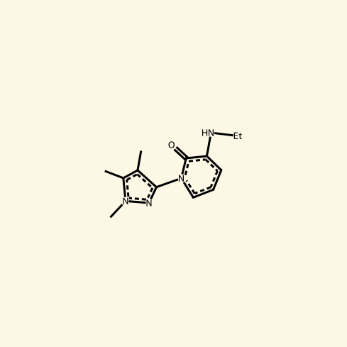 CCNc1cccn(-c2nn(C)c(C)c2C)c1=O